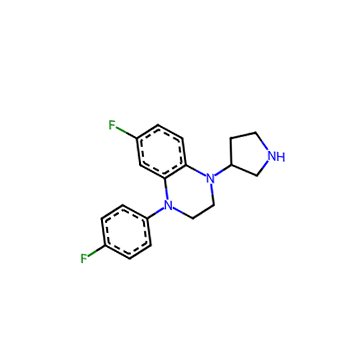 Fc1ccc(N2CCN(C3CCNC3)c3ccc(F)cc32)cc1